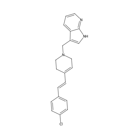 Clc1ccc(C=CC2=CCN(Cc3c[nH]c4ncccc34)CC2)cc1